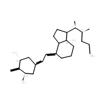 C=C1[C@H](O)CC(=C/C=C2\CCC[C@@]3(C)C2CCC3[C@@H](C)[C@@H](C)CCC(C)(C)C)C[C@H]1O